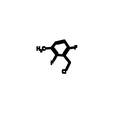 Cc1ccc(F)c(CCl)c1F